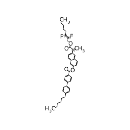 CCCCCCc1ccc(-c2ccc(C(=O)Oc3ccc4cc([C@H](C)C(=O)OC[C@@H](F)[C@H](F)CCCCC)ccc4c3)cc2)cc1